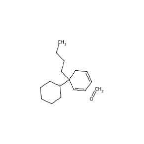 C=O.CCCCC1(C2CCCCC2)C=CC=CC1